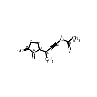 CC(=O)OC#CC(C)C1CCC(=O)N1